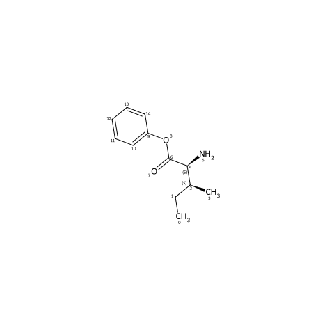 CC[C@H](C)[C@H](N)C(=O)Oc1ccccc1